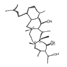 CC(C)CC1CCC(C)C2C(O)C3C(C)[C@]4(C)C(O)C(C(C)O)C(C)C[C@]4(C)C[C@]3(C)CC12